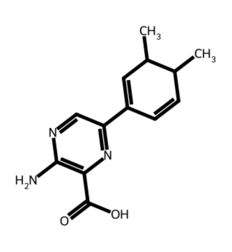 CC1C=CC(c2cnc(N)c(C(=O)O)n2)=CC1C